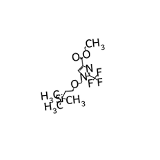 CCOC(=O)c1cn(COCC[Si](C)(C)C)c(C(F)(F)F)n1